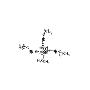 CC(C)CCOCCC(=O)NC(CCOCCOCCCn1cc(CCOCCC(C)C)nn1)(CC(=O)NCCOCCCn1cc(CCOCCC(C)C)nn1)CC(=O)NCCOCCCn1cc(CCOCCC(C)C)nn1